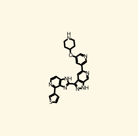 c1cc2[nH]c(-c3n[nH]c4cnc(-c5cncc(OC6CCNCC6)c5)cc34)nc2c(-c2ccsc2)n1